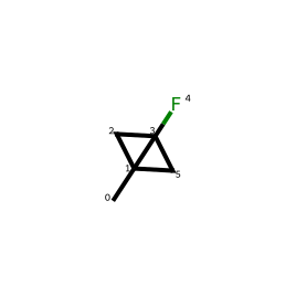 CC12CC1(F)C2